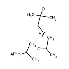 CC(C)[O-].CC(C)[O-].CCC(C)(C)[O-].[Al+3]